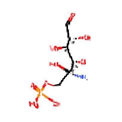 N[C@@](O)(COP(=O)(O)O)[C@@H](O)[C@@H](O)[C@@H](O)C=O